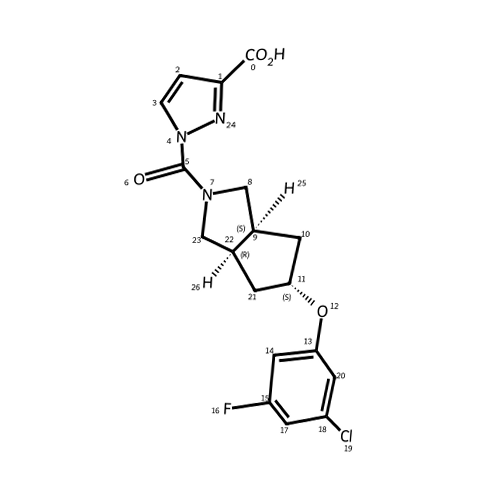 O=C(O)c1ccn(C(=O)N2C[C@H]3C[C@H](Oc4cc(F)cc(Cl)c4)C[C@H]3C2)n1